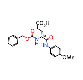 COc1ccc(NC(=O)[C@H](CCC(=O)O)NC(=O)OCc2ccccc2)cc1